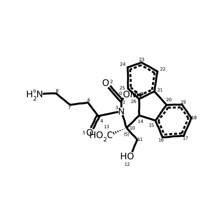 COC(=O)N(C(=O)CCCN)[C@@](CO)(C(=O)O)C1c2ccccc2-c2ccccc21